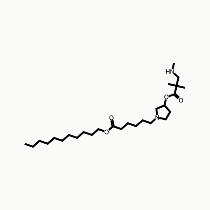 CCCCCCCCCCCOC(=O)CCCCCN1CCC(OC(=O)C(C)(C)CNC)C1